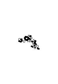 CCOP(=O)(Cc1csc(Nc2ncnc3ccc(O[C@H]4CCOC4)cc23)n1)OCC